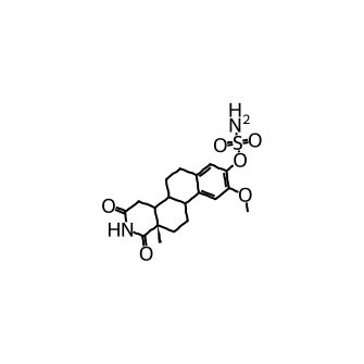 COc1cc2c(cc1OS(N)(=O)=O)CCC1C2CC[C@]2(C)C(=O)NC(=O)CC12